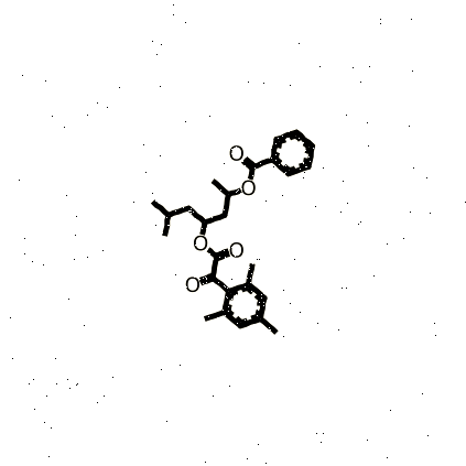 Cc1cc(C)c(C(=O)C(=O)OC(CC(C)C)CC(C)OC(=O)c2ccccc2)c(C)c1